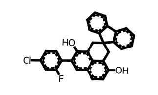 Oc1ccc2cc(-c3ccc(Cl)cc3F)c(O)c3c2c1CC1(C3)c2ccccc2-c2ccccc21